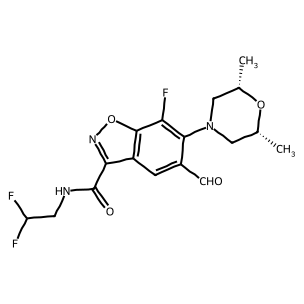 C[C@@H]1CN(c2c(C=O)cc3c(C(=O)NCC(F)F)noc3c2F)C[C@H](C)O1